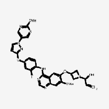 C=CC(O)N1CC(Oc2cc3c(Nc4ccc(Oc5ccn(-c6cnc(OC)nc6)n5)cc4F)ncnc3cc2OC)C1